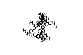 C=CCCCCN(C)C(=O)[C@@H]1C[C@H](OC(=O)Nc2cc(C)ccc2-c2nc(CC)cs2)C[C@H]1C(=O)N[C@]1(C(=O)NS(=O)(=O)C2CC2)C[C@H]1C=C